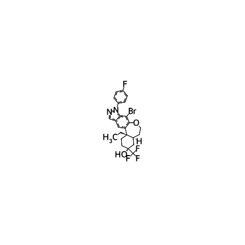 CC[C@]12CC[C@@](O)(C(F)(F)F)C[C@@H]1CCOc1c2cc2cnn(-c3ccc(F)cc3)c2c1Br